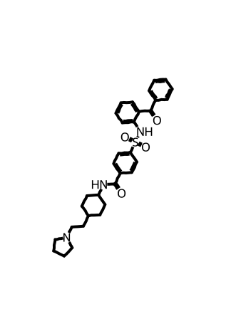 O=C(NC1CCC(CCN2CCCC2)CC1)c1ccc(S(=O)(=O)Nc2ccccc2C(=O)c2ccccc2)cc1